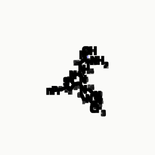 CCCc1cc2c(N3CCn4c(nnc4C(F)(F)F)C3)nc(N3C/C(=N/O)C(N)C3)nc2s1